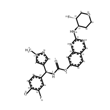 Cn1cc([C@@H](NC(=O)Oc2ccc3cnc(N[C@@H]4CCOC[C@H]4F)nc3c2)c2ccc(Cl)c(F)c2)cn1